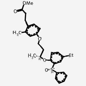 CCc1ccc(O[C@H](C)CCOc2ccc(CCC(=O)OC)c(C)c2)c([S@@+]([O-])c2ccccc2)c1